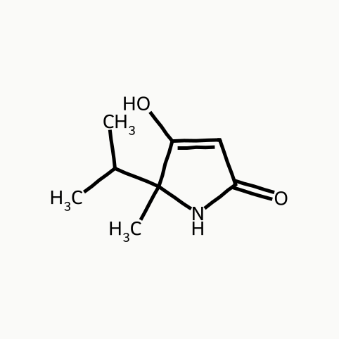 CC(C)C1(C)NC(=O)C=C1O